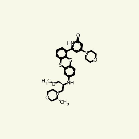 COC[C@H](CN1CCOC[C@H]1C)Nc1ccc2c(c1)Sc1cccc(-c3cc(N4CCOCC4)cc(=O)[nH]3)c1S2